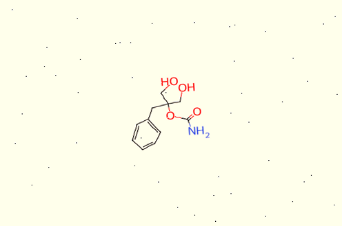 NC(=O)OC(CO)(CO)Cc1ccccc1